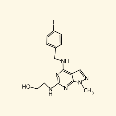 Cn1ncc2c(NCc3ccc(I)cc3)nc(NCCO)nc21